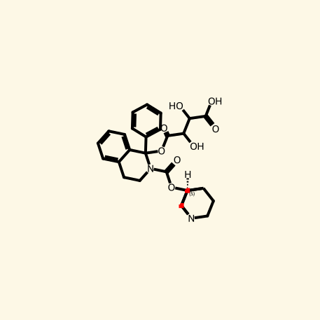 O=C(O)C(O)C(O)C(=O)OC1(c2ccccc2)c2ccccc2CCN1C(=O)O[C@@H]1CN2CCC1CC2